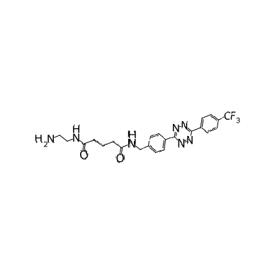 NCCNC(=O)CCCC(=O)NCc1ccc(-c2nnc(-c3ccc(C(F)(F)F)cc3)nn2)cc1